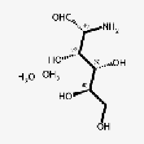 N[C@@H](C=O)[C@@H](O)[C@H](O)[C@H](O)CO.O.O